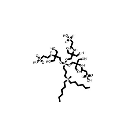 CCCCCC[N+](C)(CCCCCC)CCC[Si](OCC(CO)(CO)NCCS(=O)(=O)O)(OCC(CO)(CO)NCCS(=O)(=O)O)OCC(CO)(CO)NCCS(=O)(=O)O